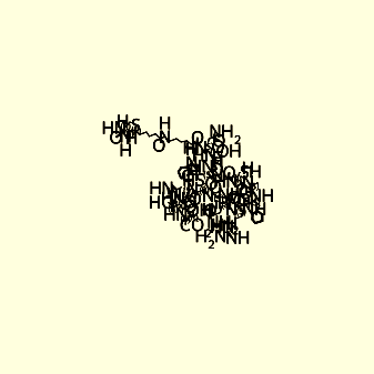 CC(C)[C@H](NC(=O)[C@H](CCC(N)=O)NC(=O)[C@H](CCCNC(=N)N)NC(=O)[C@H](Cc1ccccc1)NC(=O)[C@H](C)NC(=O)[C@H](CS)NC(=O)CNC(=O)[C@H](Cc1c[nH]c2ccccc12)NC(=O)[C@H](CO)NC(=O)[C@H](CC(N)=O)NC(=O)CCCCCNC(=O)CCCC[C@@H]1SC[C@@H]2NC(=O)N[C@@H]21)C(=O)N[C@@H](CS)C(=O)N[C@@H](Cc1c[nH]cn1)C(=O)N[C@H](C(=O)N[C@H](C(=O)O)[C@@H](C)O)[C@@H](C)O